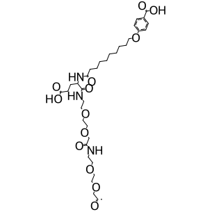 O=[C]COCCOCCNC(=O)COCCOCCNC(=O)C(CCC(=O)O)NC(=O)CCCCCCCCCOc1ccc(C(=O)O)cc1